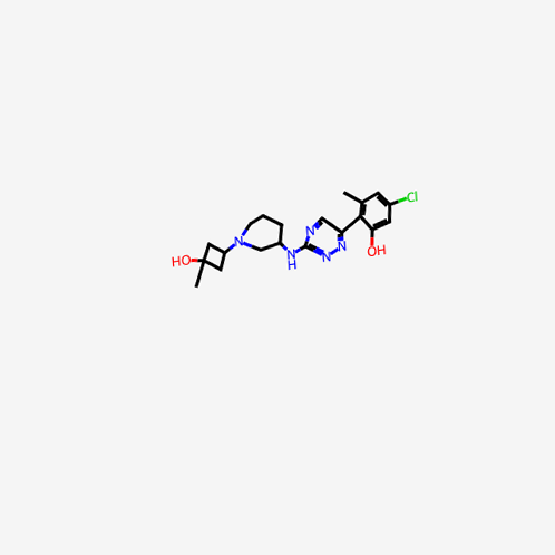 Cc1cc(Cl)cc(O)c1-c1cnc(NC2CCCN(C3CC(C)(O)C3)C2)nn1